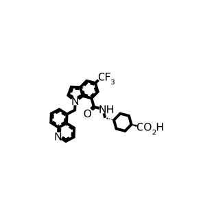 O=C(NC[C@H]1CC[C@H](C(=O)O)CC1)c1cc(C(F)(F)F)cc2ccn(Cc3cccc4ncccc34)c12